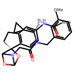 CNC(=O)Nc1ccc2c(c1)CC[C@@]21OC2OC1N2CC(=O)N(Cc1cccc(OC)c1)[C@@H](C)C1CC1